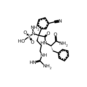 N#Cc1cccc([C@](CCCNC(=N)N)(C(=O)N[C@@H](Cc2ccccc2)C(N)=O)N(N)S(=O)(=O)O)c1